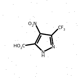 O=C(O)c1[nH]nc(C(F)(F)F)c1[N+](=O)[O-]